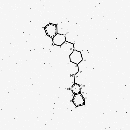 c1ccc2c(c1)OCC(CN1CCC(CNc3nc4ccccc4s3)CC1)O2